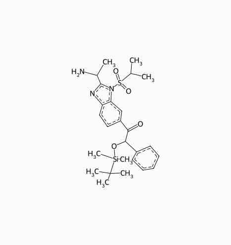 CC(N)c1nc2ccc(C(=O)C(O[Si](C)(C)C(C)(C)C)c3ccccc3)cc2n1S(=O)(=O)C(C)C